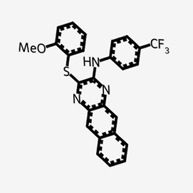 COc1ccccc1Sc1nc2cc3ccccc3cc2nc1Nc1ccc(C(F)(F)F)cc1